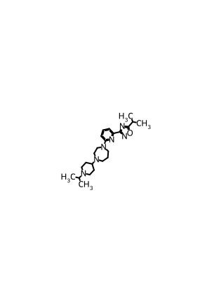 CC(C)c1nc(-c2cccc(N3CCCN(C4CCN(C(C)C)CC4)CC3)n2)no1